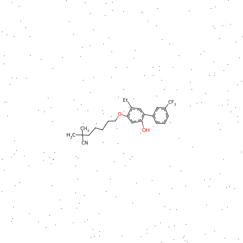 CCc1cc(-c2cccc(C(F)(F)F)c2)c(O)cc1OCCCCCC(C)(C)C#N